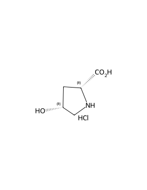 Cl.O=C(O)[C@H]1C[C@@H](O)CN1